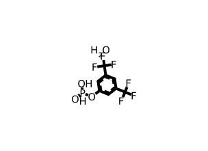 O.O=[PH](O)Oc1cc(C(F)(F)F)cc(C(F)(F)F)c1